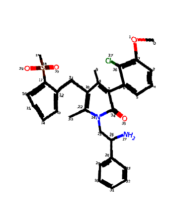 COc1cccc(-c2c(C)c(Cc3ccccc3S(C)(=O)=O)c(C)n(CC(N)c3ccccc3)c2=O)c1Cl